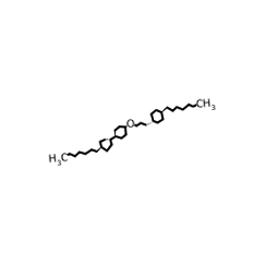 CCCCCCC[C@H]1CC[C@H](CCCO[C@H]2CC[C@H]([C@H]3CC[C@H](CCCCCCC)CC3)CC2)CC1